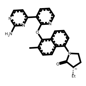 CC[C@H]1CCN(c2cccc3c(Oc4ncccc4-c4ccnc(N)n4)c(C)ccc23)C1=O